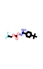 CC(C)(C)c1ccc(/C(N)=N/OC(=O)OCC(F)F)cc1